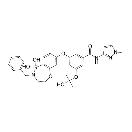 Cn1ccc(NC(=O)c2cc(Oc3ccc4c(c3)OCCN(Cc3ccccc3)S4(O)O)cc(OC(C)(C)O)c2)n1